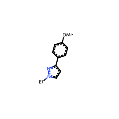 CCn1ccc(-c2ccc(OC)cc2)n1